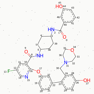 O=C(NC1CCC(NC(=O)c2cc(F)cnc2Oc2cccc(-c3ccc(O)cc3CN3CCOCC3)c2)CC1)c1cccc(O)c1